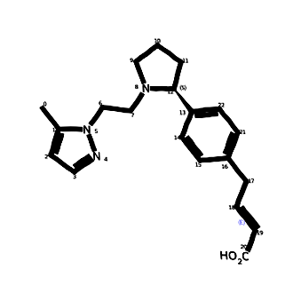 Cc1ccnn1CCN1CCC[C@H]1c1ccc(C/C=C/C(=O)O)cc1